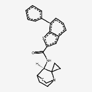 O=C(N[C@@H]1C2CCN(CC2)C12CC2)c1cc2cccc(-c3ccccc3)c2s1